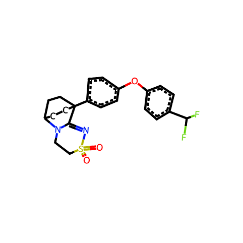 O=S1(=O)CCN2C(=N1)C1(c3ccc(Oc4ccc(C(F)F)cc4)cc3)CCC2CC1